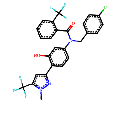 Cn1nc(-c2ccc(N(Cc3ccc(Cl)cc3)C(=O)c3ccccc3C(F)(F)F)cc2O)cc1C(F)(F)F